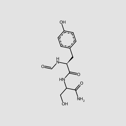 NC(=O)C(CO)NC(=O)[C@H](Cc1ccc(O)cc1)NC=O